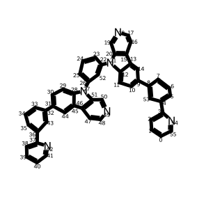 c1ccc(-c2cccc(-c3ccc4c(c3)c3ccncc3n4-c3cccc(-n4c5ccc(-c6cccc(-c7ccccn7)c6)cc5c5ccncc54)c3)c2)nc1